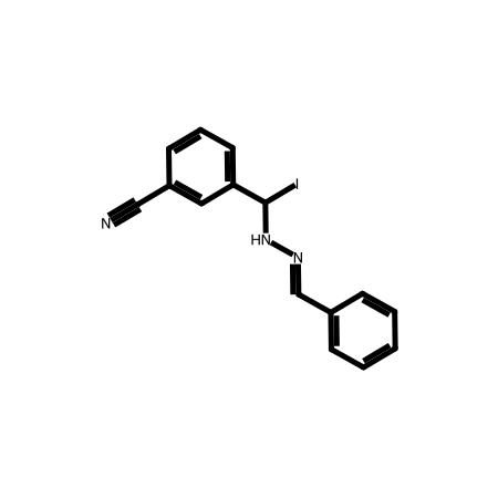 N#Cc1cccc(C(I)N/N=C/c2ccccc2)c1